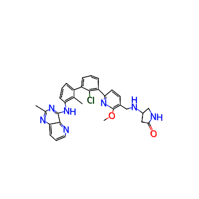 COc1nc(-c2cccc(-c3cccc(Nc4nc(C)nc5cccnc45)c3C)c2Cl)ccc1CNC1CNC(=O)C1